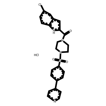 Cl.O=C(c1cc2cc(Cl)ccc2[nH]1)N1CCN(S(=O)(=O)c2ccc(-c3ccncc3)cc2)CC1